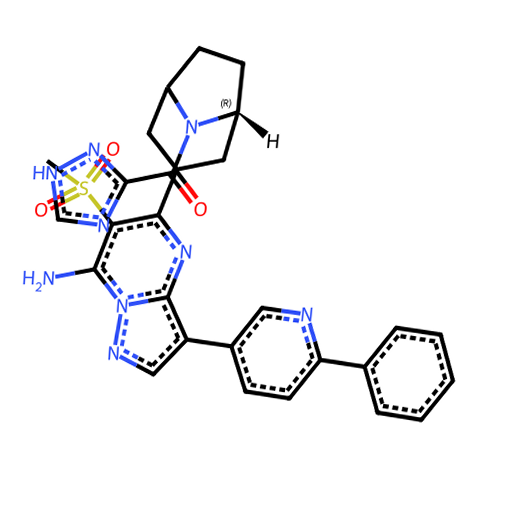 CS(=O)(=O)c1c(C2CC3CC[C@H](C2)N3C(=O)c2nc[nH]n2)nc2c(-c3ccc(-c4ccccc4)nc3)cnn2c1N